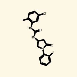 Cc1ccc(Cl)cc1NC(=O)NC1CC(=O)N(c2ccccc2F)C1